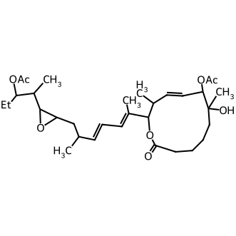 CCC(OC(C)=O)C(C)C1OC1CC(C)/C=C/C=C(\C)C1OC(=O)CCCCC(C)(O)C(OC(C)=O)/C=C/C1C